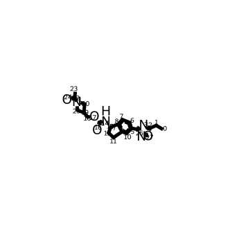 CCc1nc(-c2ccc3c(c2)CC[C@H]3NC(=O)OCC2CN(C(C)=O)C2)no1